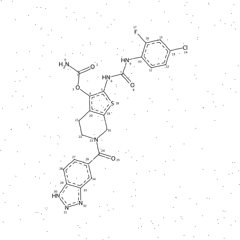 NC(=O)Oc1c(NC(=O)Nc2ccc(Cl)cc2F)sc2c1CCN(C(=O)c1ccc3[nH]nnc3c1)C2